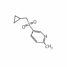 Cc1ccc(S(=O)(=O)CC2CC2)cn1